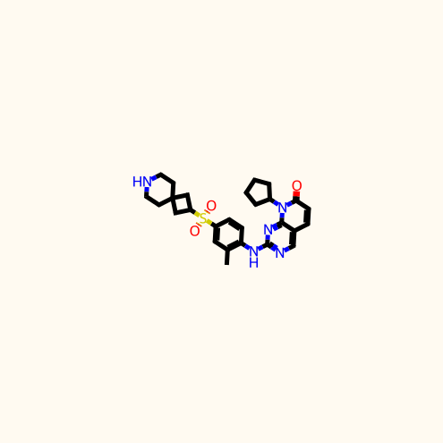 Cc1cc(S(=O)(=O)C2CC3(CCNCC3)C2)ccc1Nc1ncc2ccc(=O)n(C3CCCC3)c2n1